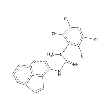 CN(C(=N)Nc1ccc2cccc3c2c1C=C3)c1c(Cl)c(Cl)cc(Cl)c1Cl